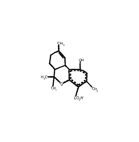 CC1=CC2c3c(O)cc(C)c(C(=O)O)c3OC(C)(C)C2CC1